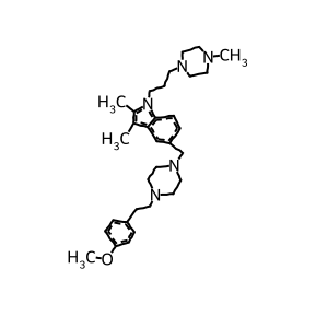 COc1ccc(CCN2CCN(Cc3ccc4c(c3)c(C)c(C)n4CCCN3CCN(C)CC3)CC2)cc1